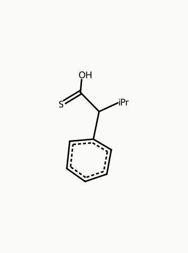 CC(C)C(C(O)=S)c1ccccc1